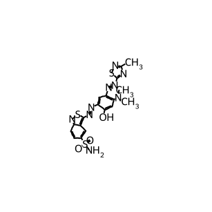 Cc1nsc(/N=N/c2cc(/N=N/c3snc4ccc(S(N)(=O)=O)cc34)c(O)cc2N(C)C)n1